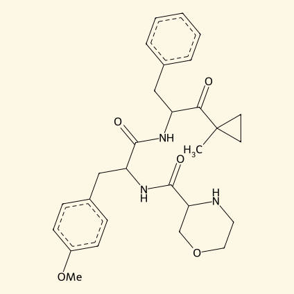 COc1ccc(CC(NC(=O)C2COCCN2)C(=O)NC(Cc2ccccc2)C(=O)C2(C)CC2)cc1